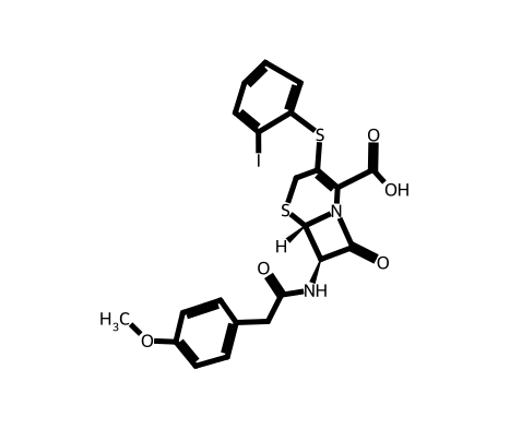 COc1ccc(CC(=O)N[C@@H]2C(=O)N3C(C(=O)O)=C(Sc4ccccc4I)CS[C@@H]23)cc1